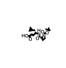 CC(C)(C)OC(=O)N1CC[C@H]1C(=O)N[C@H](/C=C/C(=O)O)CC1CC1